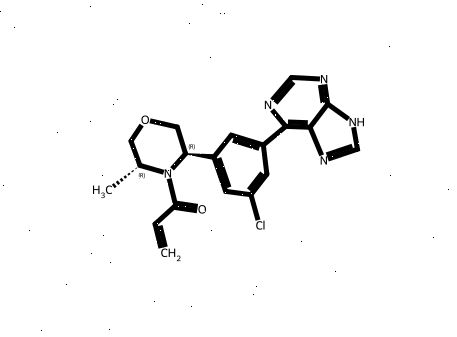 C=CC(=O)N1[C@H](C)COC[C@H]1c1cc(Cl)cc(-c2ncnc3[nH]cnc23)c1